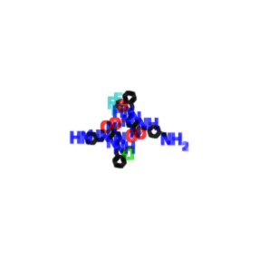 NC[C@H]1CC[C@H](CNc2nc(NCc3ccccc3OC(F)(F)F)ncc2[N+](=O)[O-])CC1.O=[N+]([O-])c1cnc(NCc2ccccc2Cl)nc1NCC1CCNCC1